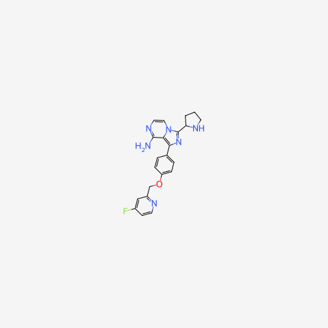 Nc1nccn2c(C3CCCN3)nc(-c3ccc(OCc4cc(F)ccn4)cc3)c12